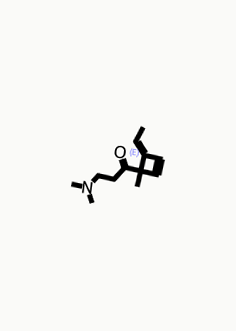 C/C=C1\C#CC1(C)C(=O)CCN(C)C